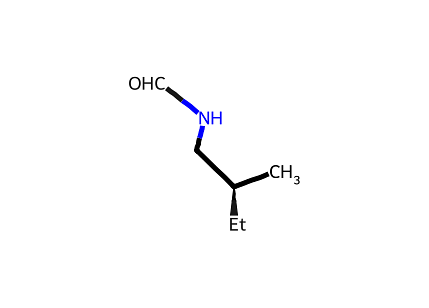 CC[C@H](C)CNC=O